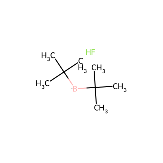 CC(C)(C)[B]C(C)(C)C.F